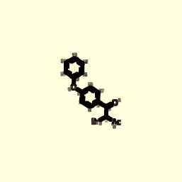 CC(=O)C(Br)C(=O)c1ccc(Oc2ccccc2)cc1